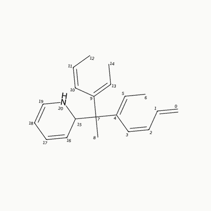 C=C/C=C\C(=C/C)C(C)(C(/C=C\C)=C/C)C1C=CC=CN1